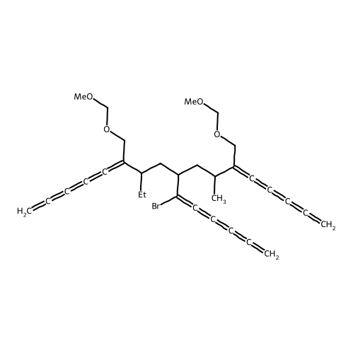 C=C=C=C=C=C(COCOC)C(C)CC(CC(CC)C(=C=C=C=C=C)COCOC)C(Br)=C=C=C=C=C